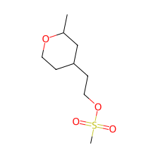 CC1CC(CCOS(C)(=O)=O)CCO1